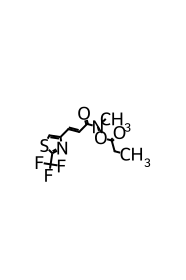 CCC(=O)ON(C)C(=O)C=Cc1csc(C(F)(F)F)n1